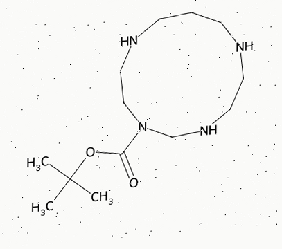 CC(C)(C)OC(=O)N1CCNCCCNCCNC1